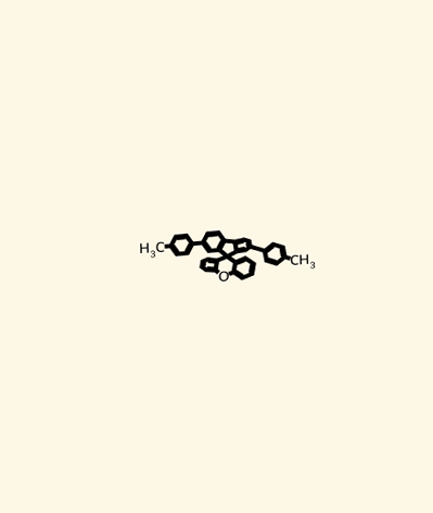 Cc1ccc(-c2ccc3c(c2)C2(c4ccccc4Oc4ccccc42)c2cc(-c4ccc(C)cc4)ccc2-3)cc1